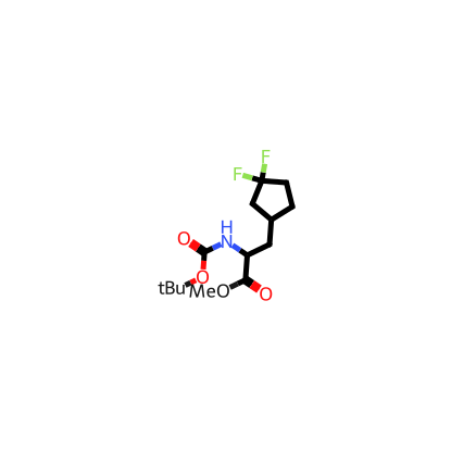 COC(=O)C(CC1CCC(F)(F)C1)NC(=O)OC(C)(C)C